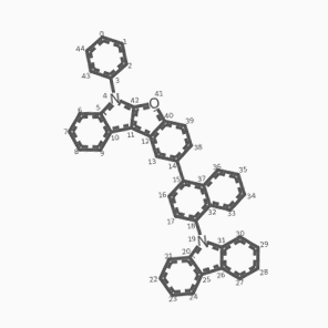 c1ccc(-n2c3ccccc3c3c4cc(-c5ccc(-n6c7ccccc7c7ccccc76)c6ccccc56)ccc4oc32)cc1